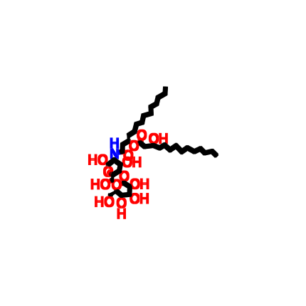 CCCCCCCCCCC[C@@H](O)CC(=O)O[C@H](CCCCCCCCCCC)CC(=O)N[C@@H]1[C@@H](O)[C@H](O[C@@H]2O[C@H](CO)[C@@H](O)[C@H](O)[C@@H]2O)[C@@H](CO)O[C@H]1O